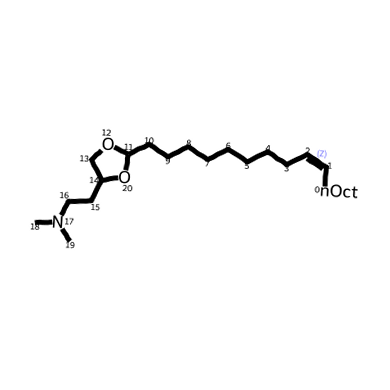 CCCCCCCC/C=C\CCCCCCCCC1OCC(CCN(C)C)O1